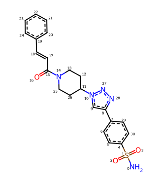 NS(=O)(=O)c1ccc(-c2cn(C3CCN(C(=O)C=Cc4ccccc4)CC3)nn2)cc1